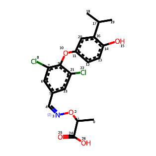 CC(O/N=C\c1cc(Cl)c(Oc2ccc(O)c(C(C)C)c2)c(Cl)c1)C(=O)O